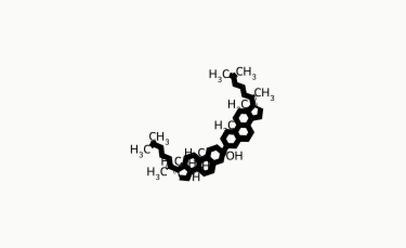 CC(C)CCC[C@@H](C)[C@H]1CC[C@H]2[C@@H]3CC=C4CC(O)(C5CC[C@@]6(C)C(=CCC7C6CC[C@@]6(C)C7CC[C@@H]6[C@H](C)CCCC(C)C)C5)CC[C@]4(C)[C@H]3CC[C@]12C